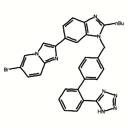 CCCCc1nc2ccc(-c3cn4cc(Br)ccc4n3)cc2n1Cc1ccc(-c2ccccc2-c2nnn[nH]2)cc1